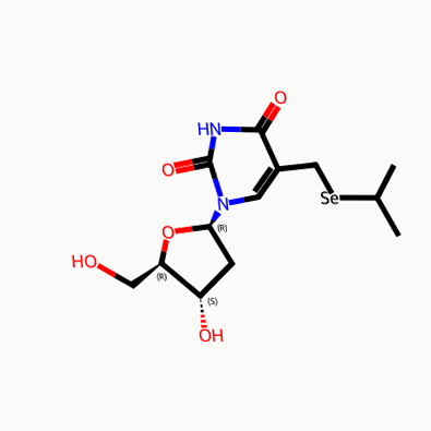 CC(C)[Se]Cc1cn([C@H]2C[C@H](O)[C@@H](CO)O2)c(=O)[nH]c1=O